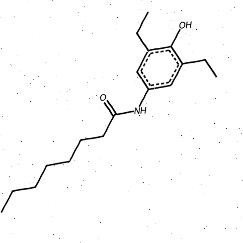 CCCCCCCC(=O)Nc1cc(CC)c(O)c(CC)c1